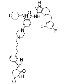 O=C1CCC(n2cnc3c(CCCCN4CCN(c5ccc(C(=O)Nc6n[nH]c7ccc(Cc8cc(F)cc(F)c8)cc67)c(NC6CCOCC6)c5)CC4)cccc32)C(=O)N1